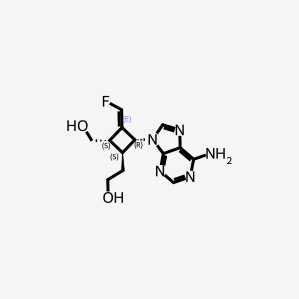 Nc1ncnc2c1ncn2[C@H]1/C(=C/F)[C@@H](CO)[C@@H]1CCO